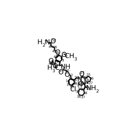 COc1cc(C(C)NC(=O)COCc2ccc(Cl)cc2CNC(=O)[C@H]2CCCN2C(=O)[C@@H](N)C2CCCCC2)c([N+]2([O-])CO2)cc1OCCCC(N)=O